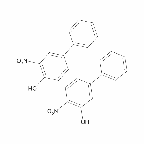 O=[N+]([O-])c1cc(-c2ccccc2)ccc1O.O=[N+]([O-])c1ccc(-c2ccccc2)cc1O